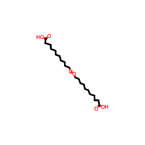 O=C(O)CCCCCCCCCCOOCCCCCCCCCCC(=O)O